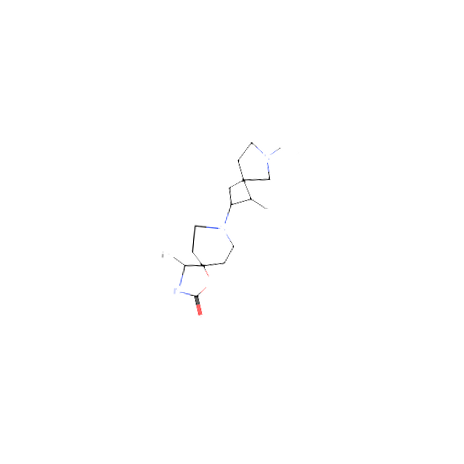 CCC1C(N2CCC3(CC2)OC(=O)NC3C(C)C)CC12CCN(C(=O)O)C2